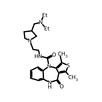 CCN(CC)CC1CCN(CCNC(=O)N2c3ccccc3NC(=O)c3c(C)sc(C)c32)C1